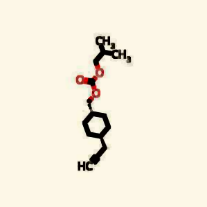 C#CC[C@H]1CC[C@H](COC(=O)OCC(C)C)CC1